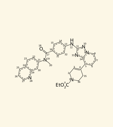 CCOC(=O)N1CC=C(c2cccn3nc(Nc4ccc(C(=O)N(C)c5ccc6cccnc6c5)cc4)nc23)CC1